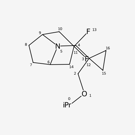 CC(C)OCC1(CN2C3CCC2CC(F)(F)C3)CC1